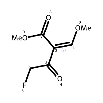 CO/C=C(/C(=O)CF)C(=O)OC